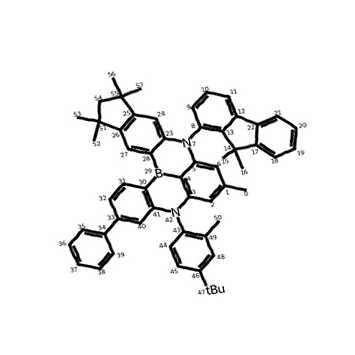 Cc1cc2c3c(c1)N(c1cccc4c1C(C)(C)c1ccccc1-4)c1cc4c(cc1B3c1ccc(-c3ccccc3)cc1N2c1ccc(C(C)(C)C)cc1C)C(C)(C)CC4(C)C